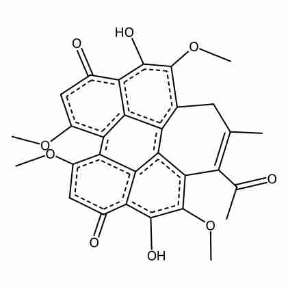 COc1c(O)c2c(=O)cc(OC)c3c4c(OC)cc(=O)c5c(O)c(OC)c6c(c(c1CC(C)=C6C(C)=O)c23)c54